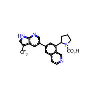 O=C(O)N1CCCC1c1cc(-c2cnc3[nH]cc(C(F)(F)F)c3c2)cc2ccncc12